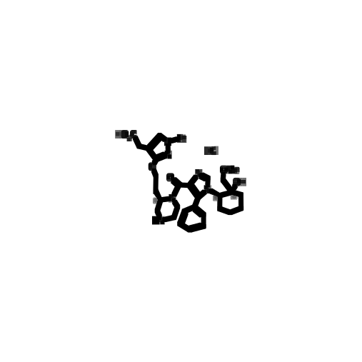 CCn1cc(CC(=O)O)c(OCC[C@@H]2CNCCN2C(=O)c2ncn([C@@H]3CCCC[C@@]3(O)COC)c2-c2ccccc2)n1.Cl